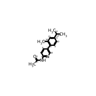 CC(=O)Nc1ccc(-c2ccc(C(C)C)cc2C)cn1